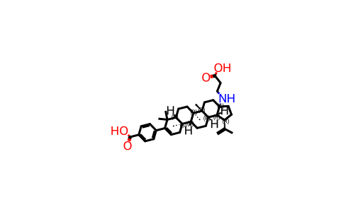 C=C(C)[C@@H]1CC[C@]2(NCCC(=O)O)CC[C@]3(C)[C@H](CC[C@@H]4[C@@]5(C)CC=C(c6ccc(C(=O)O)cc6)C(C)(C)[C@@H]5CC[C@]43C)[C@@H]12